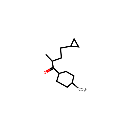 CC(CCC1CC1)C(=O)C1CCC(C(=O)O)CC1